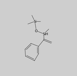 C=C(c1ccccc1)[SiH](C)O[Si](C)(C)C